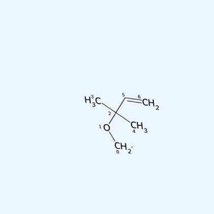 [CH2]OC(C)(C)C=C